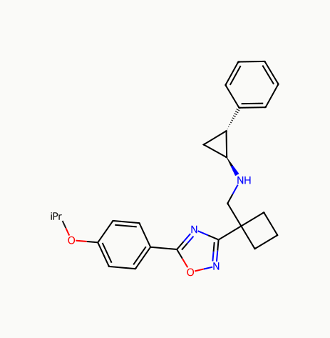 CC(C)Oc1ccc(-c2nc(C3(CN[C@H]4C[C@@H]4c4ccccc4)CCC3)no2)cc1